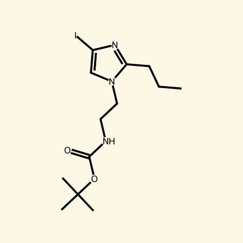 CCCc1nc(I)cn1CCNC(=O)OC(C)(C)C